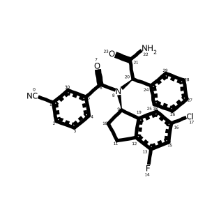 N#Cc1cccc(C(=O)N([C@@H]2CCc3c(F)cc(Cl)cc32)[C@@H](C(N)=O)c2ccccc2)c1